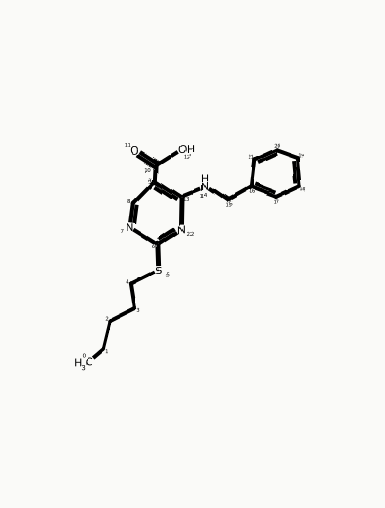 CCCCCSc1ncc(C(=O)O)c(NCc2ccccc2)n1